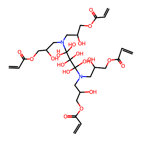 C=CC(=O)OCC(O)CN(CC(O)COC(=O)C=C)C(O)(O)C(O)(O)C(O)(O)N(CC(O)COC(=O)C=C)CC(O)COC(=O)C=C